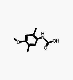 COc1cc(C)c(NC(=O)O)cc1C